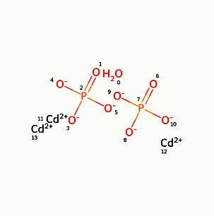 O.O=P([O-])([O-])[O-].O=P([O-])([O-])[O-].[Cd+2].[Cd+2].[Cd+2]